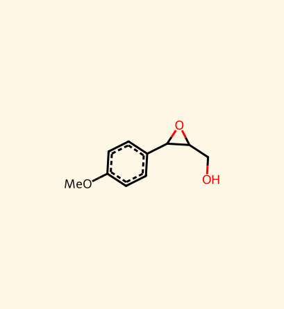 COc1ccc(C2OC2CO)cc1